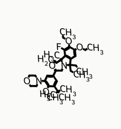 C=CC1(C)c2c(cc(OCC)c(OCC)c2F)C(CC)(CC)N1CC(=O)c1cc(N2CCOCC2)c(OC)c(C(C)(C)C)c1